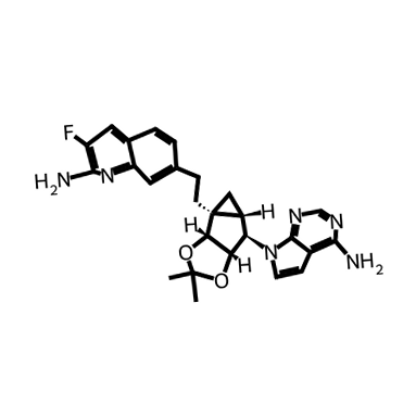 CC1(C)O[C@H]2[C@H](n3ccc4c(N)ncnc43)[C@H]3C[C@]3(CCc3ccc4cc(F)c(N)nc4c3)[C@H]2O1